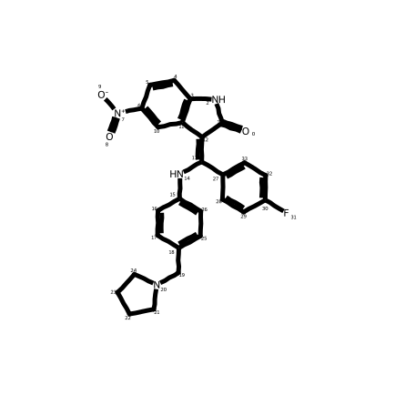 O=C1Nc2ccc([N+](=O)[O-])cc2C1=C(Nc1ccc(CN2CCCC2)cc1)c1ccc(F)cc1